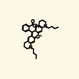 CCCCN1CCCc2cc3c(-c4ccccc4C(=O)O)c4cc5c(cc4[o+]c3cc21)N(CCCC)CCC5